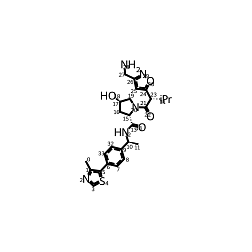 Cc1ncsc1-c1ccc([C@H](C)NC(=O)[C@@H]2C[C@@H](O)CN2C(=O)[C@H](c2cc(CN)no2)C(C)C)cc1